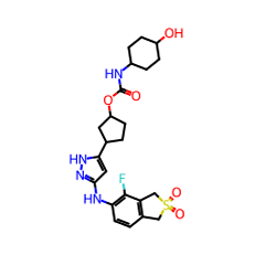 O=C(NC1CCC(O)CC1)OC1CCC(c2cc(Nc3ccc4c(c3F)CS(=O)(=O)C4)n[nH]2)C1